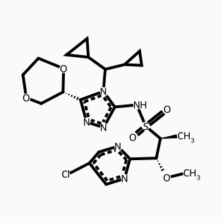 CO[C@H](c1ncc(Cl)cn1)[C@H](C)S(=O)(=O)Nc1nnc([C@@H]2COCCO2)n1C(C1CC1)C1CC1